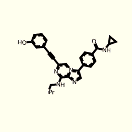 CC(C)CNc1nc(C#Cc2cccc(O)c2)cn2c(-c3ccc(C(=O)NC4CC4)cc3)cnc12